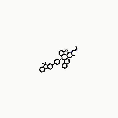 C=c1ccc2c(oc3cccc(N(c4ccc(-c5ccc6c(c5)C(C)(C)c5ccccc5-6)cc4)c4cccc5ccccc45)c32)/c1=C/C=C\C